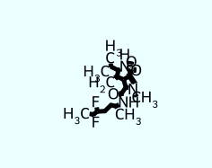 C=C1C(C(C)C)NS(=O)(=O)C2=CN(C)C(C(=O)NC(C)CCC(F)C(C)F)C12